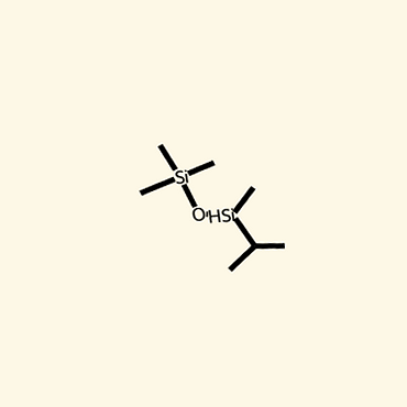 CC(C)[SiH](C)O[Si](C)(C)C